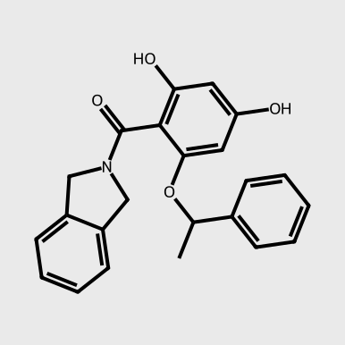 CC(Oc1cc(O)cc(O)c1C(=O)N1Cc2ccccc2C1)c1ccccc1